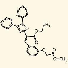 CCOC(=O)C(=Cc1cccc(OCC(=O)OC)c1)c1nc(-c2ccccc2)c(-c2ccccc2)o1